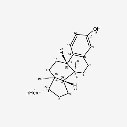 CCCCCC[C@H]1CC[C@H]2[C@@H]3CCc4cc(O)ccc4[C@H]3CC[C@]12C